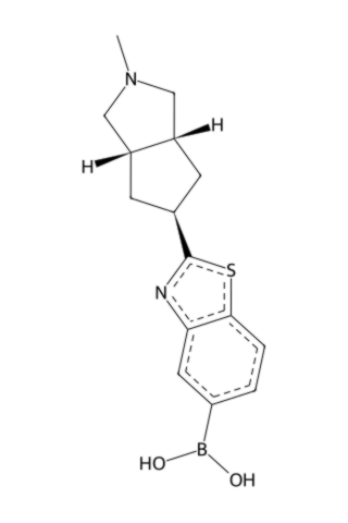 CN1C[C@H]2C[C@H](c3nc4cc(B(O)O)ccc4s3)C[C@H]2C1